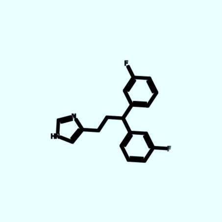 Fc1cccc(C(CCc2c[nH]cn2)c2cccc(F)c2)c1